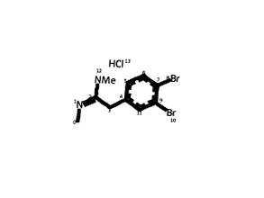 C/N=C(\Cc1ccc(Br)c(Br)c1)NC.Cl